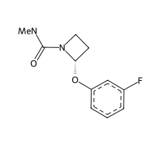 CNC(=O)N1CC[C@@H]1Oc1cccc(F)c1